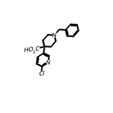 O=C(O)C1(c2ccc(Cl)nc2)CCN(Cc2ccccc2)CC1